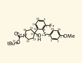 COc1ccc(Sc2c(F)cccc2C2(O)CCN(C(=O)OC(C)(C)C)CC2)cc1